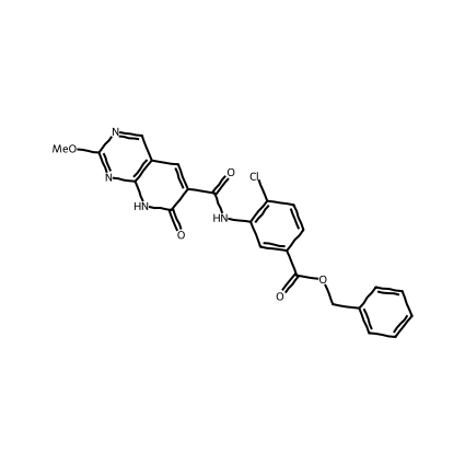 COc1ncc2cc(C(=O)Nc3cc(C(=O)OCc4ccccc4)ccc3Cl)c(=O)[nH]c2n1